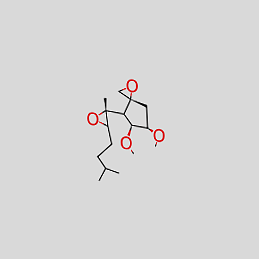 CO[C@@H]1C[C@]2(CO2)C([C@@]2(C)OC2CCC(C)C)[C@@H]1OC